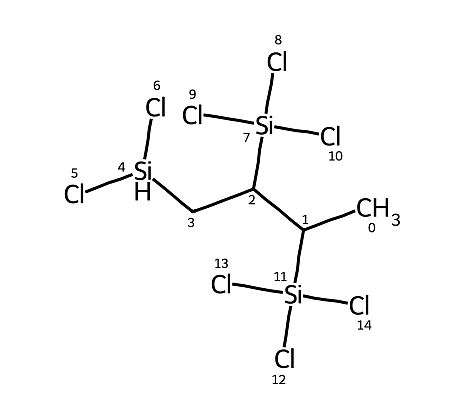 CC(C(C[SiH](Cl)Cl)[Si](Cl)(Cl)Cl)[Si](Cl)(Cl)Cl